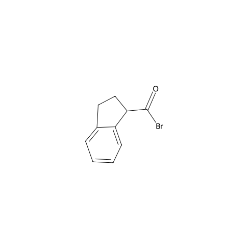 O=C(Br)C1CCc2ccccc21